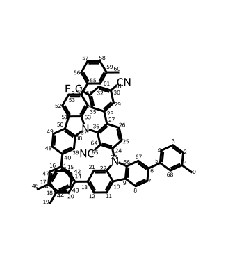 Cc1cccc(-c2ccc3c4ccc(-c5cccc(C)c5)cc4n(-c4ccc(-c5cc(C#N)cc(C(F)(F)F)c5)c(-n5c6cc(-c7cccc(C)c7)ccc6c6ccc(-c7cccc(C)c7)cc65)c4C#N)c3c2)c1